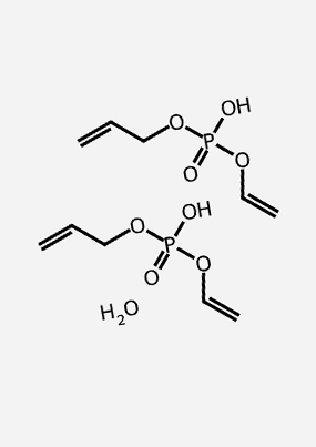 C=CCOP(=O)(O)OC=C.C=CCOP(=O)(O)OC=C.O